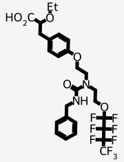 CCOC(Cc1ccc(OCCN(CCOC(F)(F)C(F)(F)C(F)(F)C(F)(F)F)C(=O)NCc2ccccc2)cc1)C(=O)O